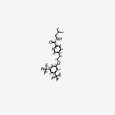 CC(C)CNC(=O)c1ccc(CCOc2cc(C(F)(F)F)cc(C(F)(F)F)c2)cn1